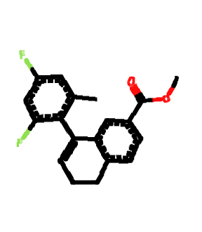 COC(=O)c1ccc2c(c1)C(c1c(C)cc(F)cc1F)=CCC2